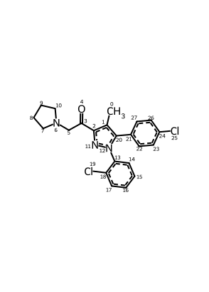 Cc1c(C(=O)CN2CCCC2)nn(-c2ccccc2Cl)c1-c1ccc(Cl)cc1